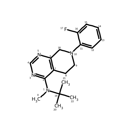 CN(c1ncnc2c1CCN(c1ccccc1F)C2)C(C)(C)C